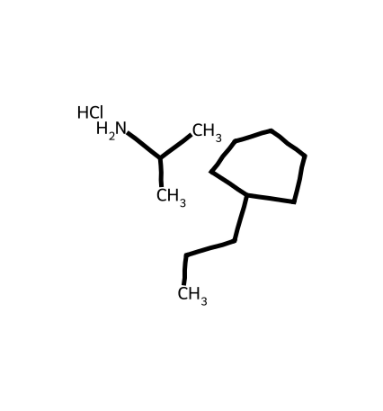 CC(C)N.CCCC1CCCCC1.Cl